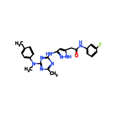 Cc1ccc(N(C)c2nc(C)nc(Nc3cc(CC(=O)Nc4cccc(F)c4)[nH]n3)n2)cc1